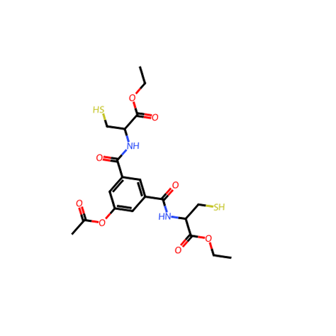 CCOC(=O)C(CS)NC(=O)c1cc(OC(C)=O)cc(C(=O)NC(CS)C(=O)OCC)c1